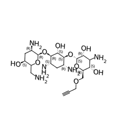 C#CCOC[C@H]1O[C@H](O[C@@H]2[C@@H](O)[C@H](O[C@H]3OC(CN)[C@@H](O)C[C@H]3N)[C@@H](N)C[C@H]2N)[C@H](O)C(N)[C@@H]1O